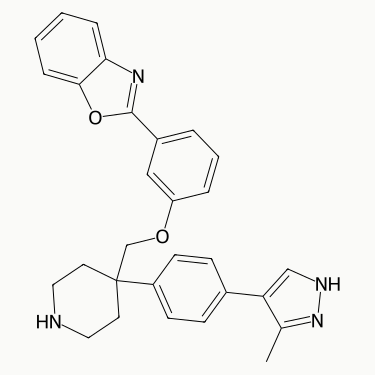 Cc1n[nH]cc1-c1ccc(C2(COc3cccc(-c4nc5ccccc5o4)c3)CCNCC2)cc1